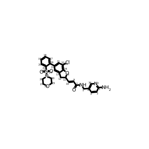 Nc1ccc(CNC(=O)/C=C/C2Cc3cc(-c4ccccc4S(=O)(=O)N4CCOCC4)cc(Cl)c3O2)cn1